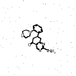 Nc1ncc2c(n1)CC(c1ccccc1N1CCOCC1)CC2=O